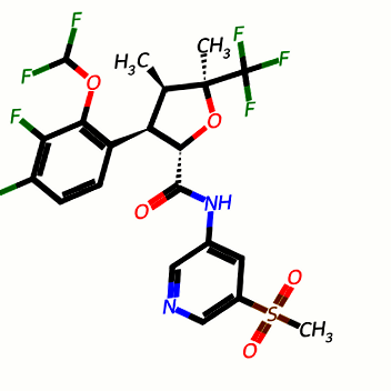 C[C@@H]1[C@H](c2ccc(F)c(F)c2OC(F)F)[C@@H](C(=O)Nc2cncc(S(C)(=O)=O)c2)O[C@]1(C)C(F)(F)F